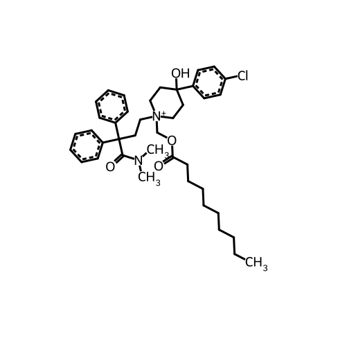 CCCCCCCCCC(=O)OC[N+]1(CCC(C(=O)N(C)C)(c2ccccc2)c2ccccc2)CCC(O)(c2ccc(Cl)cc2)CC1